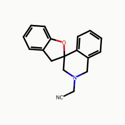 N#CCN1Cc2ccccc2C2(Cc3ccccc3O2)C1